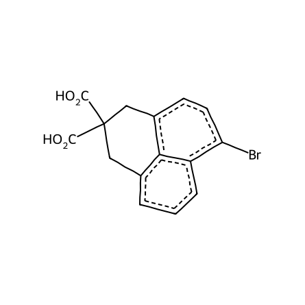 O=C(O)C1(C(=O)O)Cc2cccc3c(Br)ccc(c23)C1